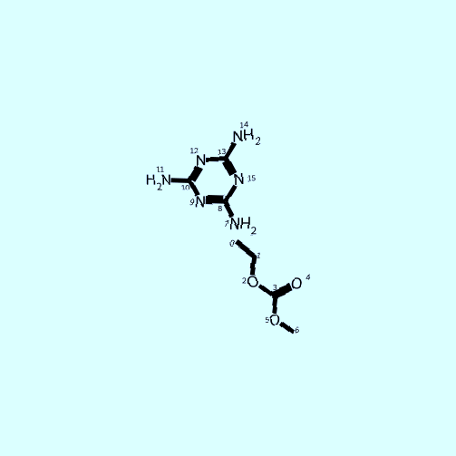 CCOC(=O)OC.Nc1nc(N)nc(N)n1